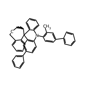 Cc1cc(-c2ccccc2)ccc1N1c2ccccc2C2(c3ccccc3CCc3ccccc32)c2cc(-c3ccccc3)ccc21